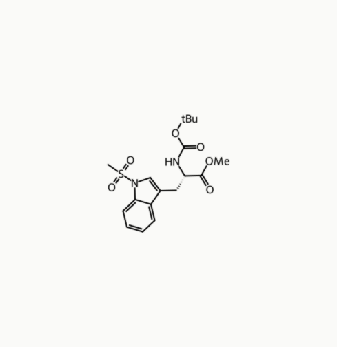 COC(=O)[C@H](Cc1cn(S(C)(=O)=O)c2ccccc12)NC(=O)OC(C)(C)C